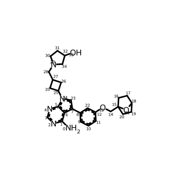 Nc1ncnc2c1c(-c1cccc(OCC34CCC(CC3)O4)c1)cn2C1CC(CN2CCC(O)C2)C1